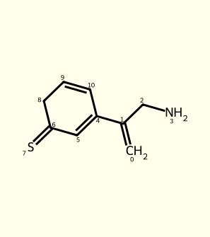 C=C(CN)C1=CC(=S)CC=C1